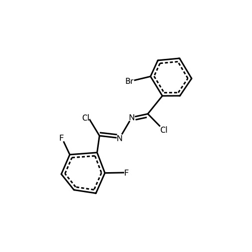 Fc1cccc(F)c1C(Cl)=NN=C(Cl)c1ccccc1Br